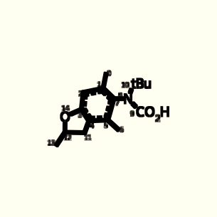 Cc1cc2c(c(C)c1N(C(=O)O)C(C)(C)C)CC(C)O2